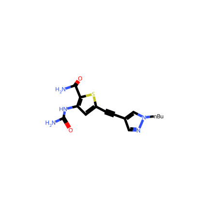 CCCCn1cc(C#Cc2cc(NC(N)=O)c(C(N)=O)s2)cn1